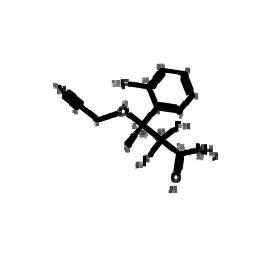 C[C@@](OCC#N)(c1ccccc1F)C(F)(F)C(N)=O